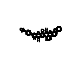 Cn1cc(-c2nccc(N3CCn4c(cc5c4CCCC5)C3=O)c2CO)cc(Nc2ccc(N3CCN(C4COC4)CC3)cn2)c1=O